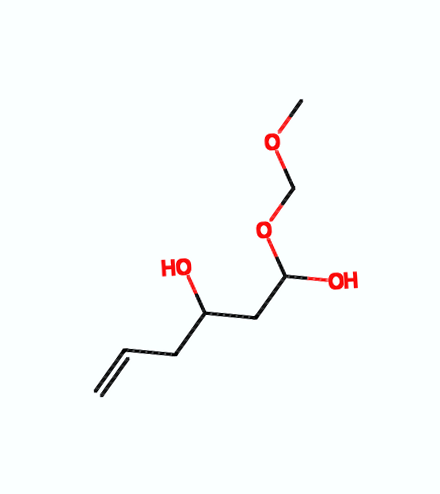 C=CCC(O)CC(O)OCOC